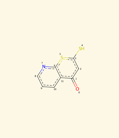 O=c1cc(S)sc2ncccc12